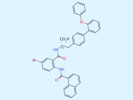 O=C(N[C@@H](Cc1ccc(-c2ccccc2Oc2ccccc2)cc1)C(=O)O)c1cc(Br)ccc1NC(=O)c1cccc2ccccc12